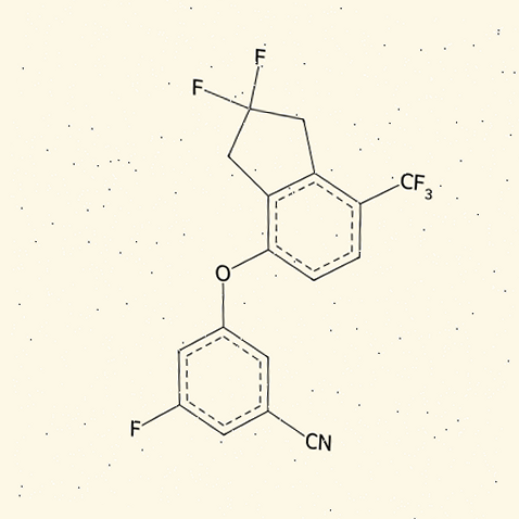 N#Cc1cc(F)cc(Oc2ccc(C(F)(F)F)c3c2CC(F)(F)C3)c1